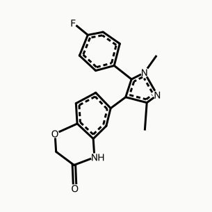 Cc1nn(C)c(-c2ccc(F)cc2)c1-c1ccc2c(c1)NC(=O)CO2